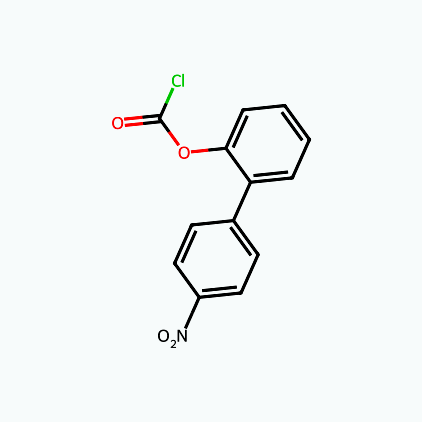 O=C(Cl)Oc1ccccc1-c1ccc([N+](=O)[O-])cc1